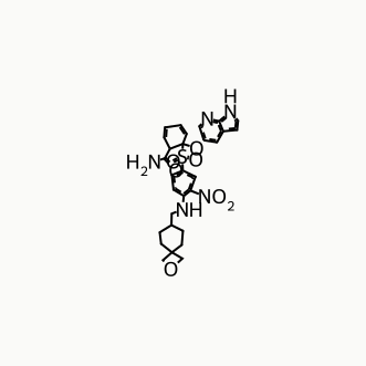 NC(=O)C1C=CC=CC1(Oc1cnc2[nH]ccc2c1)S(=O)(=O)c1ccc(NCC2CCC3(CC2)COC3)c([N+](=O)[O-])c1